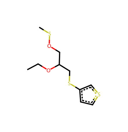 CCOC(COSC)CSc1ccsc1